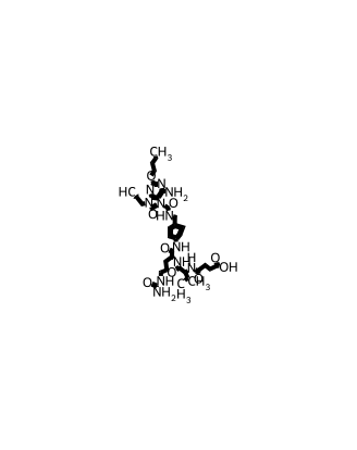 C#CCn1c(=O)n(C(=O)NCc2ccc(NC(=O)C(CCCNC(N)=O)NC(=O)C(NC(=O)CCC(=O)O)C(C)C)cc2)c2c(N)nc(OCCCC)nc21